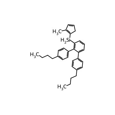 CCCCc1ccc(-c2cccc([SiH2]C3=C(C)C=CC3)c2-c2ccc(CCCC)cc2)cc1